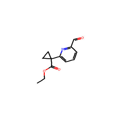 CCOC(=O)C1(c2cccc(C=O)n2)CC1